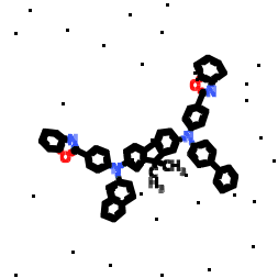 CC1(C)c2cc(N(c3ccc(-c4ccccc4)cc3)c3ccc(-c4nc5ccccc5o4)cc3)ccc2-c2ccc(N(c3ccc(-c4nc5ccccc5o4)cc3)c3ccc4ccccc4c3)cc21